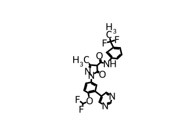 CC1=NN(c2ccc(OC(F)F)c(-c3cncnc3)c2)C(=O)C1C(=O)Nc1cccc(C(C)(F)F)c1